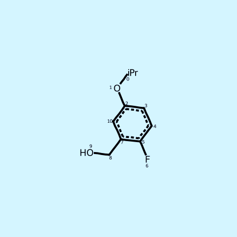 CC(C)Oc1ccc(F)c(CO)c1